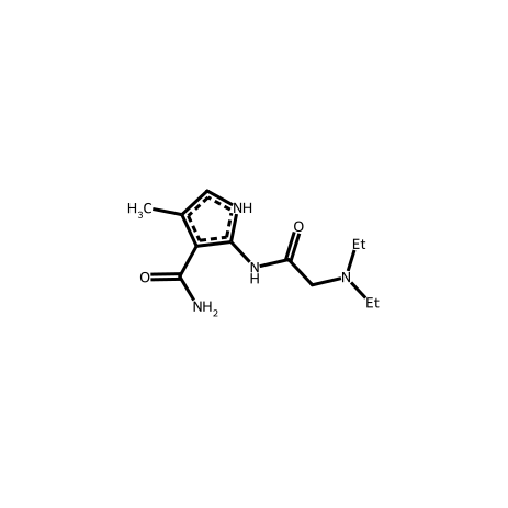 CCN(CC)CC(=O)Nc1[nH]cc(C)c1C(N)=O